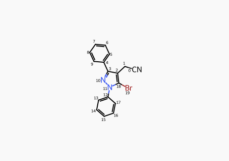 N#CCc1c(-c2ccccc2)nn(-c2ccccc2)c1Br